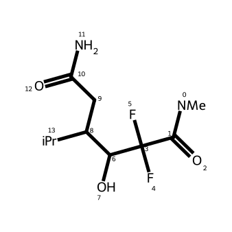 CNC(=O)C(F)(F)C(O)C(CC(N)=O)C(C)C